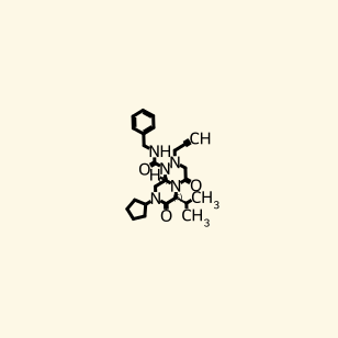 C#CCN1CC(=O)N2[C@@H](C(C)C)C(=O)N(C3CCCC3)C[C@@H]2N1C(=O)NCc1ccccc1